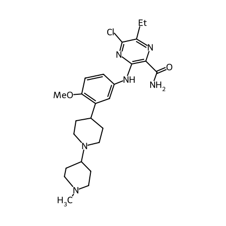 CCc1nc(C(N)=O)c(Nc2ccc(OC)c(C3CCN(C4CCN(C)CC4)CC3)c2)nc1Cl